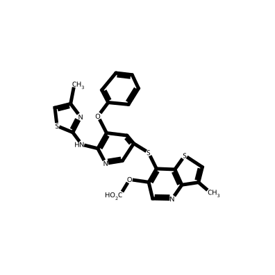 Cc1csc(Nc2ncc(Sc3c(OC(=O)O)cnc4c(C)csc34)cc2Oc2ccccc2)n1